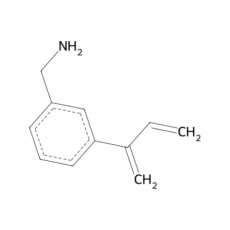 C=CC(=C)c1cccc(CN)c1